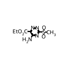 CCOC(=O)c1nnc(S(C)(=O)=O)nc1N